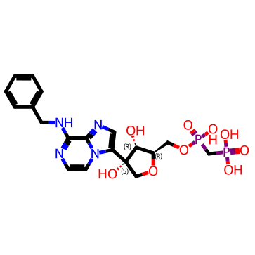 O=P(O)(O)CP(=O)(O)OC[C@H]1OC[C@@](O)(c2cnc3c(NCc4ccccc4)nccn23)[C@@H]1O